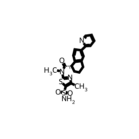 Cc1nc(N(C)C(=O)[C@H]2CCCc3cc(-c4ccccn4)ccc32)sc1S(N)(=O)=O